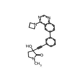 CN1CCC(O)(C#Cc2cccc(-c3ccc4ncnc(N5CCC5)c4c3)c2)C1=O